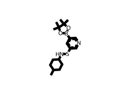 CC1CCC(NSc2cncc(B3OC(C)(C)C(C)(C)O3)c2)CC1